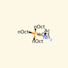 CC(N)=O.CCCCCCCC[PH](CCCCCCCC)(CCCCCCCC)CCCCCCCC